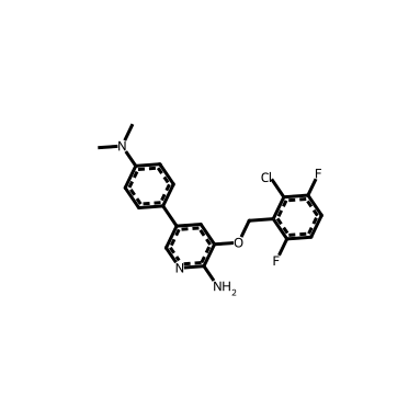 CN(C)c1ccc(-c2cnc(N)c(OCc3c(F)ccc(F)c3Cl)c2)cc1